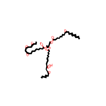 CCCCCCCCC1OC1CCCCCCCC(=O)OCC(COC(=O)CCCCCCCC1OC1CC1OC1CC1OC1CC)OC(=O)CCCCCCCCC(O)CC1OC1CCCCC